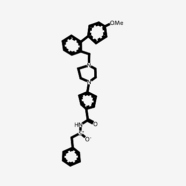 COc1ccc(-c2ccccc2CN2CCN(c3ccc(C(=O)N[S+]([O-])Cc4ccccc4)cc3)CC2)cc1